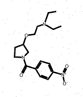 CCN(CC)CCOC1CCN(C(=O)c2ccc([N+](=O)[O-])cc2)C1